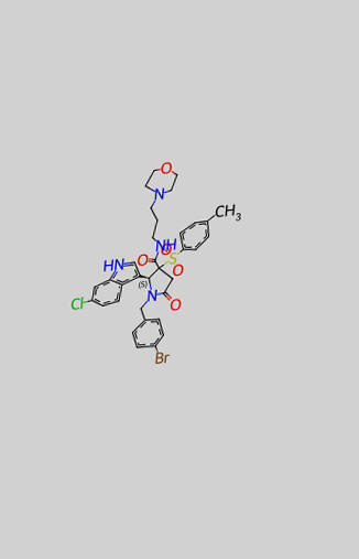 Cc1ccc(S(=O)(=O)C2(C(=O)NCCCN3CCOCC3)CC(=O)N(Cc3ccc(Br)cc3)[C@H]2c2c[nH]c3cc(Cl)ccc23)cc1